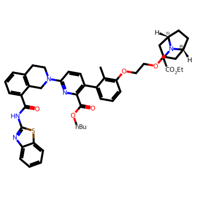 CCCCOC(=O)c1nc(N2CCc3cccc(C(=O)Nc4nc5ccccc5s4)c3C2)ccc1-c1cccc(OCCOC2C[C@H]3CC[C@@H](C2)N3CC(=O)OCC)c1C